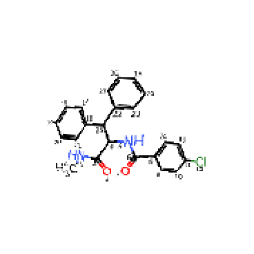 CNC(=O)C(NC(=O)c1ccc(Cl)cc1)C(c1ccccc1)c1ccccc1